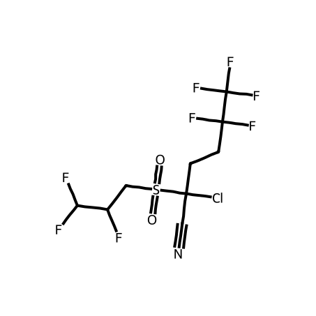 N#CC(Cl)(CCC(F)(F)C(F)(F)F)S(=O)(=O)CC(F)C(F)F